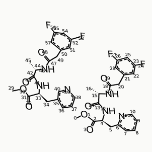 COC(=O)[C@H](Cc1ccccn1)NC(=O)[C@H](C)NC(=O)Cc1cc(F)cc(F)c1.COC(=O)[C@H](Cc1cccnc1)NC(=O)[C@H](C)NC(=O)Cc1cc(F)cc(F)c1